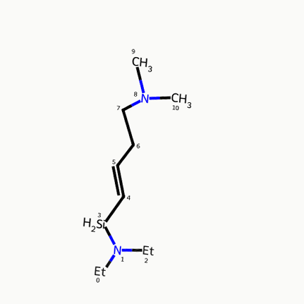 CCN(CC)[SiH2]C=CCCN(C)C